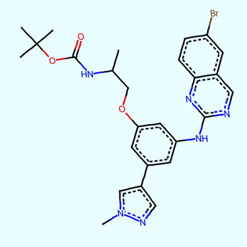 CC(COc1cc(Nc2ncc3cc(Br)ccc3n2)cc(-c2cnn(C)c2)c1)NC(=O)OC(C)(C)C